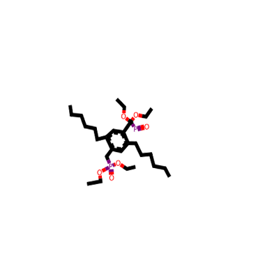 CCCCCCc1cc(C(OCC)(OCC)P=O)c(CCCCCC)cc1CP(=O)(OCC)OCC